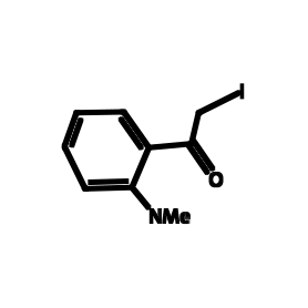 CNc1ccccc1C(=O)CI